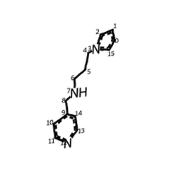 c1ccn(CCCNCc2ccncc2)c1